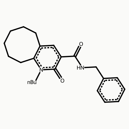 CCCCn1c2c(cc(C(=O)NCc3ccccc3)c1=O)CCCCCC2